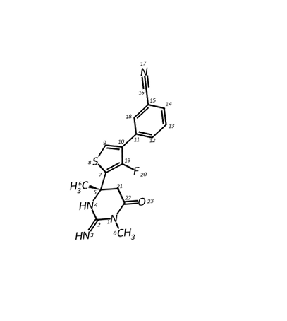 CN1C(=N)N[C@](C)(c2scc(-c3cccc(C#N)c3)c2F)CC1=O